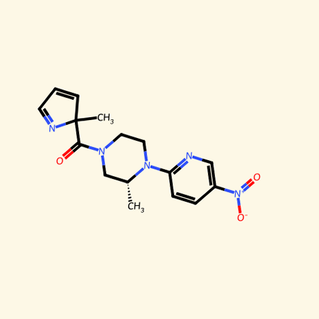 C[C@@H]1CN(C(=O)C2(C)C=CC=N2)CCN1c1ccc([N+](=O)[O-])cn1